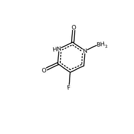 Bn1cc(F)c(=O)[nH]c1=O